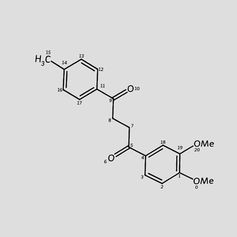 COc1ccc(C(=O)CCC(=O)c2ccc(C)cc2)cc1OC